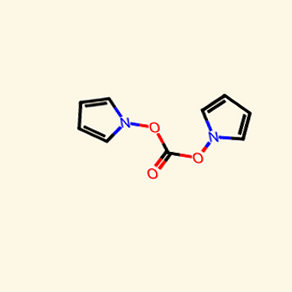 O=C(On1cccc1)On1cccc1